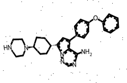 Nc1ncnn2c1c(-c1ccc(Oc3ccccc3)cc1)cc2[C@H]1CC[C@H](N2CCNCC2)CC1